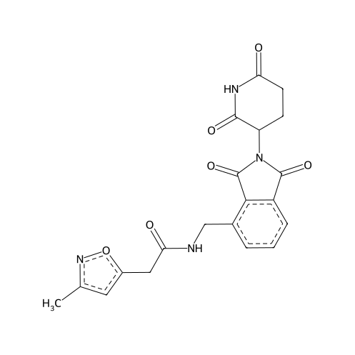 Cc1cc(CC(=O)NCc2cccc3c2C(=O)N(C2CCC(=O)NC2=O)C3=O)on1